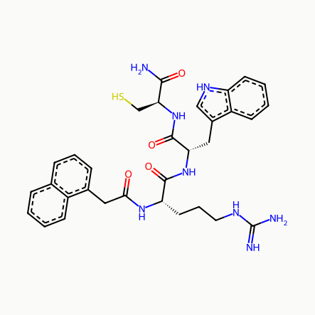 N=C(N)NCCC[C@H](NC(=O)Cc1cccc2ccccc12)C(=O)N[C@@H](Cc1c[nH]c2ccccc12)C(=O)N[C@@H](CS)C(N)=O